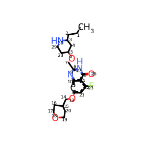 CCCC1CC(OCc2nc3cc(OCC4CCOCC4)cc(F)c3c(=O)[nH]2)CCN1